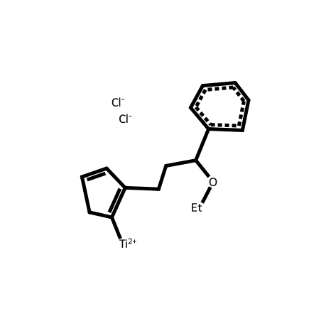 CCOC(CCC1=[C]([Ti+2])CC=C1)c1ccccc1.[Cl-].[Cl-]